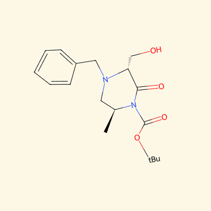 C[C@H]1CN(Cc2ccccc2)[C@H](CO)C(=O)N1C(=O)OC(C)(C)C